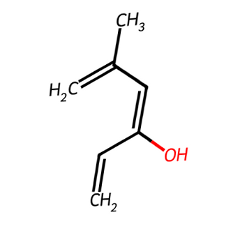 C=C/C(O)=C\C(=C)C